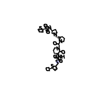 CN(C1CCN(C[C@@H]2CCCN2C(=O)CN2CCC[C@H](NS(=O)(=O)/C=C/c3ccc(Cl)s3)C2=O)C1)S(=O)(=O)c1cccs1